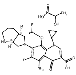 CC(O)C(=O)O.Nc1c(F)c(N2C[C@@H]3CCCN[C@@H]3C2)c(OC(F)F)c2c1c(=O)c(C(=O)O)cn2C1CC1